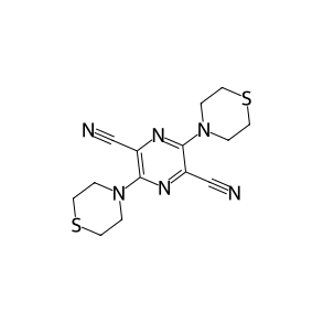 N#Cc1nc(N2CCSCC2)c(C#N)nc1N1CCSCC1